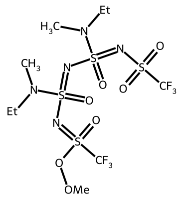 CCN(C)S(=O)(=NS(=O)(=O)C(F)(F)F)N=S(=O)(N=S(=O)(OOC)C(F)(F)F)N(C)CC